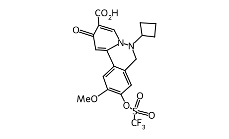 COc1cc2c(cc1OS(=O)(=O)C(F)(F)F)CN(C1CCC1)n1cc(C(=O)O)c(=O)cc1-2